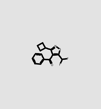 O=C(c1ccccc1)c1c(C2CCC2)nsc1C(F)F